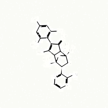 Cc1cc(C)c(C2=C(O)[C@]3(C)[C@@H]4O[C@@H](C[C@H]4c4nccnc4C#N)[C@]3(C)C2=O)c(C)c1